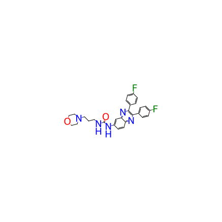 O=C(NCCCN1CCOCC1)Nc1ccc2nc(-c3ccc(F)cc3)c(-c3ccc(F)cc3)nc2c1